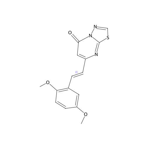 COc1ccc(OC)c(/C=C/c2cc(=O)n3ncsc3n2)c1